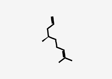 C=CC[C@H](C)CCC=C(C)C